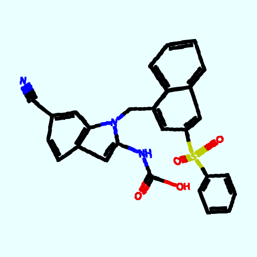 N#Cc1ccc2cc(NC(=O)O)n(Cc3cc(S(=O)(=O)c4ccccc4)cc4ccccc34)c2c1